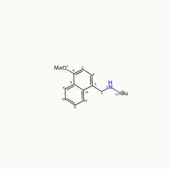 CCCCNCc1ccc(OC)c2ccccc12